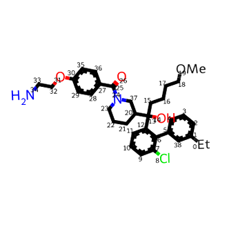 CCc1cccc(-c2c(Cl)cccc2C(O)(CCCCOC)C2CCCN(C(=O)c3ccc(OCCN)cc3)C2)c1